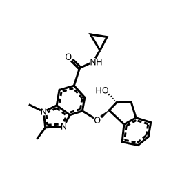 Cc1nc2c(O[C@@H]3c4ccccc4C[C@H]3O)cc(C(=O)NC3CC3)cc2n1C